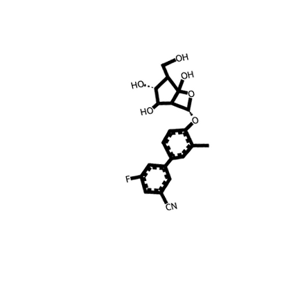 Cc1cc(-c2cc(F)cc(C#N)c2)ccc1O[C@H]1OC2(O)C1C(O)[C@H](O)C2CO